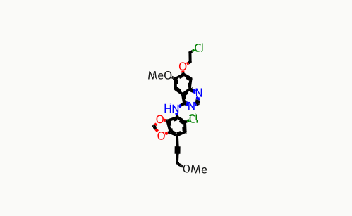 COCC#Cc1cc(Cl)c(Nc2ncnc3cc(OCCCl)c(OC)cc23)c2c1OCO2